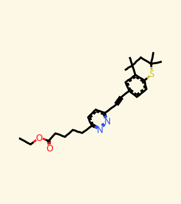 CCOC(=O)CCCCc1ccc(C#Cc2ccc3c(c2)C(C)(C)CC(C)(C)S3)nn1